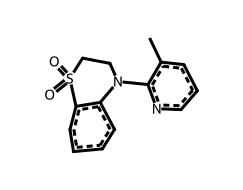 Cc1cccnc1N1CCS(=O)(=O)c2ccccc21